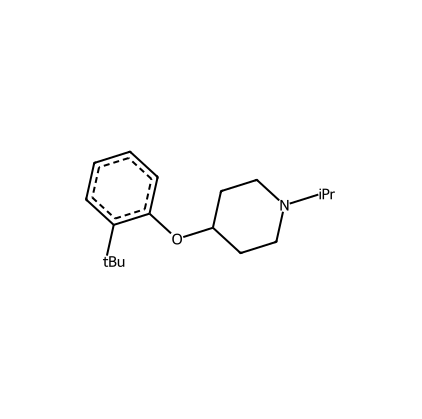 CC(C)N1CCC(Oc2ccccc2C(C)(C)C)CC1